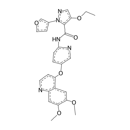 CCOc1cnn(-c2ccoc2)c1C(=O)Nc1ccc(Oc2ccnc3cc(OC)c(OC)cc23)cn1